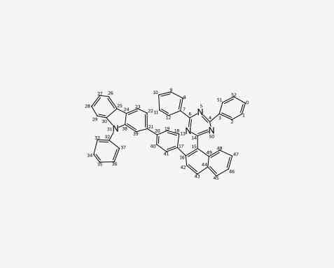 c1ccc(-c2nc(-c3ccccc3)nc(-c3c(-c4ccc(-c5ccc6c7ccccc7n(-c7ccccc7)c6c5)cc4)ccc4ccccc34)n2)cc1